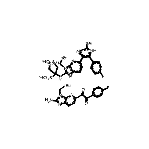 CC(C)(C)Cn1c(N)nc2ccc(C(=O)C(=O)c3ccc(F)cc3)nc21.CC(C)(C)Cn1c(NC(CS(=O)(=O)O)(CS(=O)(=O)O)S(=O)(=O)O)nc2ccc(-c3nc(C(C)(C)C)[nH]c3-c3ccc(F)cc3)nc21